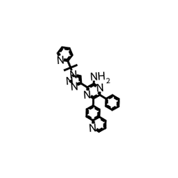 CC(C)(c1ccccn1)n1cc(-c2nc(-c3ccc4ncccc4c3)c(-c3ccccc3)nc2N)nn1